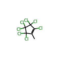 CC1=C(Cl)C(Cl)(Cl)C(Cl)(Cl)C1(Cl)Cl